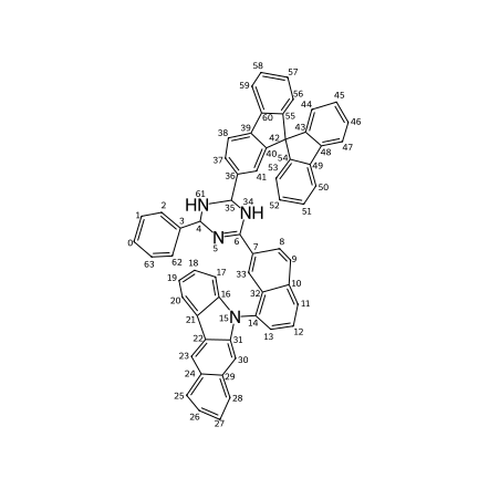 c1ccc(C2N=C(c3ccc4cccc(-n5c6ccccc6c6cc7ccccc7cc65)c4c3)NC(c3ccc4c(c3)C3(c5ccccc5-c5ccccc53)c3ccccc3-4)N2)cc1